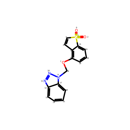 O=S1(=O)C=Cc2c(OCn3nnc4ccccc43)cccc21